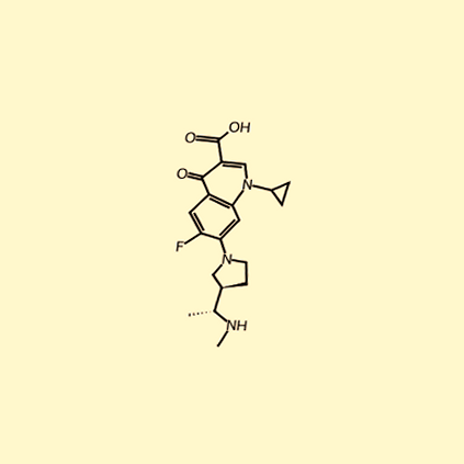 CN[C@H](C)[C@@H]1CCN(c2cc3c(cc2F)c(=O)c(C(=O)O)cn3C2CC2)C1